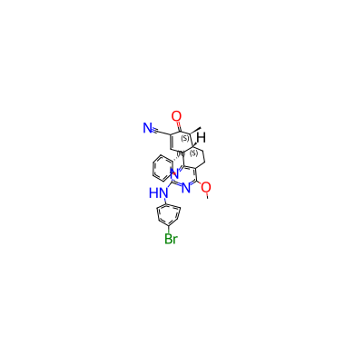 COc1nc(Nc2ccc(Br)cc2)nc2c1CC[C@H]1[C@H](C)C(=O)C(C#N)=C[C@]21c1ccccc1